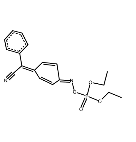 CCOP(=O)(OCC)ON=C1C=CC(=C(C#N)c2ccccc2)C=C1